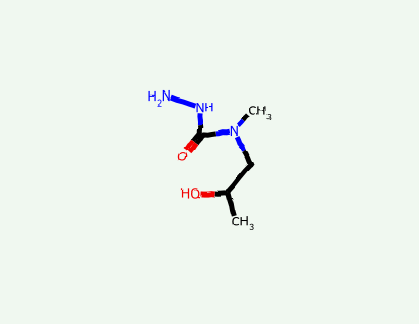 CC(O)CN(C)C(=O)NN